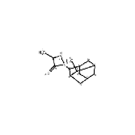 CC1NN(C2C3CC4CC(C3)C(C)C2C4)C1=O